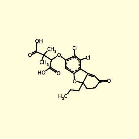 CCCC12CCC(=O)C=C1c1c(cc(OC(C(=O)O)C(C)(C)C(=O)O)c(Cl)c1Cl)O2